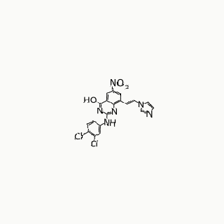 O=[N+]([O-])c1cc(/C=C/n2ccnc2)c2nc(Nc3ccc(Cl)c(Cl)c3)nc(O)c2c1